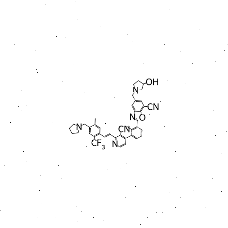 Cc1cc(/C=C/c2nccc(-c3cccc(-c4nc5cc(CN6CC[C@@H](O)C6)cc(C#N)c5o4)c3C)c2C#N)c(C(F)(F)F)cc1CN1CCCC1